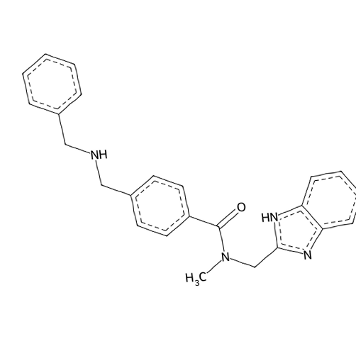 CN(Cc1nc2ccccc2[nH]1)C(=O)c1ccc(CNCc2ccccc2)cc1